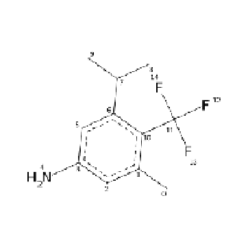 Cc1cc(N)cc(C(C)C)c1C(F)(F)F